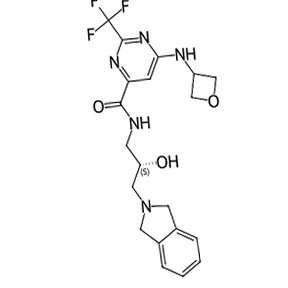 O=C(NC[C@H](O)CN1Cc2ccccc2C1)c1cc(NC2COC2)nc(C(F)(F)F)n1